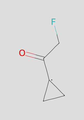 O=C(CF)[C]1CC1